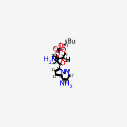 CC(C)(C)CO[P@]1(=O)OC[C@H]2O[C@@H](c3ccc4c(N)ccnn34)[C@](C)(N)[C@@H]2O1